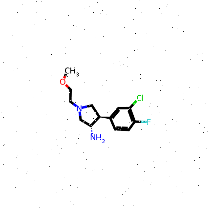 COCCN1C[C@@H](N)[C@H](c2ccc(F)c(Cl)c2)C1